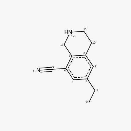 CCc1cc(C#N)c2c(c1)CCNC2